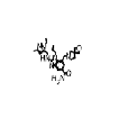 CCCn1c(NCc2cc(C)nn2CC)nc2cc(C(N)=O)cc(CN3CCC4(COC4)C3)c21